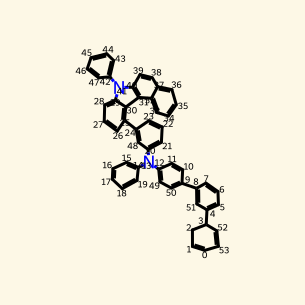 C1=CCC(c2cccc(-c3ccc(N(c4ccccc4)c4cccc(-c5cccc6c5c5c7ccccc7ccc5n6-c5ccccc5)c4)cc3)c2)C=C1